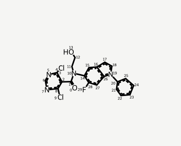 O=C(c1c(Cl)ncnc1Cl)N(CCO)c1cc2ccn(-c3ccccc3)c2cc1F